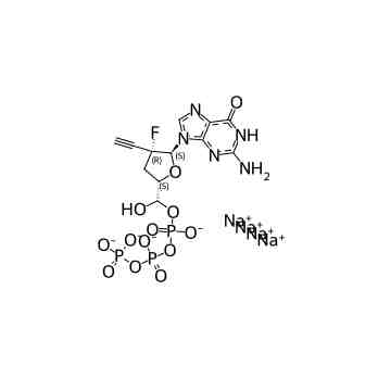 C#C[C@]1(F)C[C@@H](C(O)OP(=O)([O-])OP(=O)([O-])OP(=O)([O-])[O-])O[C@@H]1n1cnc2c(=O)[nH]c(N)nc21.[Na+].[Na+].[Na+].[Na+]